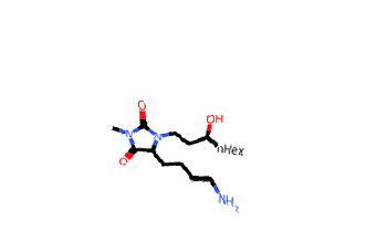 CCCCCCC(O)CCN1C(=O)N(C)C(=O)C1CCCCN